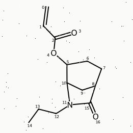 C=CC(=O)OC1CCC2CC1N(CCC)C2=O